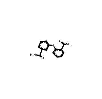 NC(=O)c1cccc(Sc2ccccc2C(N)=O)c1